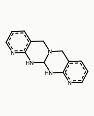 c1cnc2c(c1)CN1Cc3cccnc3NC1N2